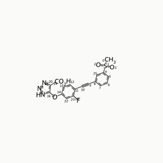 CS(=O)(=O)c1cccc(C#Cc2ccc(Oc3[nH]nnc3C(=O)O)cc2F)c1